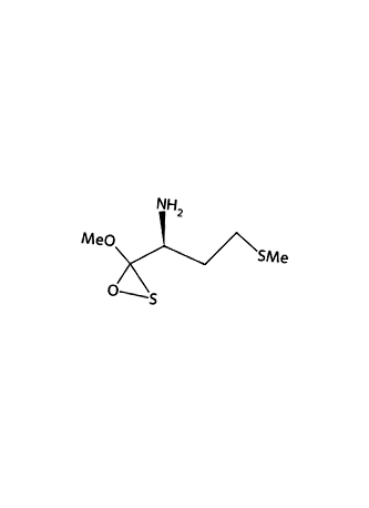 COC1([C@@H](N)CCSC)OS1